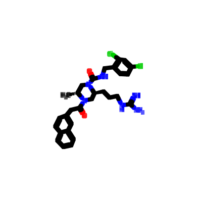 C[C@@H]1CN(C(=O)NCc2ccc(Cl)cc2Cl)[C@@H](CCCNC(=N)N)CN1C(=O)Cc1ccc2ccccc2c1